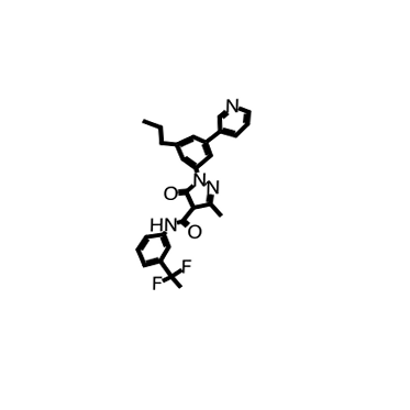 CCCc1cc(-c2cccnc2)cc(N2N=C(C)C(C(=O)Nc3cccc(C(C)(F)F)c3)C2=O)c1